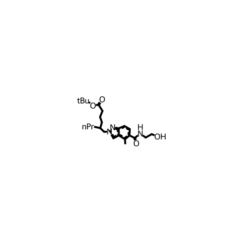 CCCC(CCCC(=O)OC(C)(C)C)Cn1cc2c(C)c(C(=O)NCCO)ccc2n1